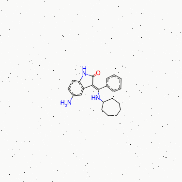 Nc1ccc2c(c1)C(=C(NC1CCCCCC1)c1ccccc1)C(=O)N2